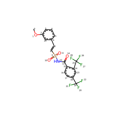 COc1cccc(/C=C/S(=O)(=O)NC(=O)c2ccc(C(F)(F)F)cc2C(F)(F)F)c1